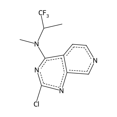 CC(N(C)c1nc(Cl)nc2cnccc12)C(F)(F)F